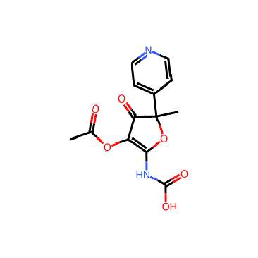 CC(=O)OC1=C(NC(=O)O)OC(C)(c2ccncc2)C1=O